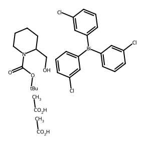 CC(=O)O.CC(=O)O.CC(C)(C)OC(=O)N1CCCCC1CO.Clc1ccc[c]([Bi]([c]2cccc(Cl)c2)[c]2cccc(Cl)c2)c1